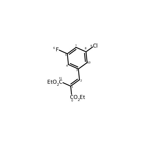 CCOC(=O)C(=Cc1cc(F)cc(Cl)c1)C(=O)OCC